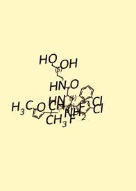 Cc1ccc(C(C)(C)C[C@@H]2NC(C(=O)NCC[C@H](O)CO)[C@H](c3cccc(Cl)c3F)[C@@]2(N)c2ccc(Cl)cc2F)o1